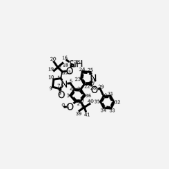 COc1cc(CN2C(=O)CC[C@H]2C(O[SiH](C)C)C(C)(C)C)c(-c2cccnc2OCc2ccccc2)cc1C(C)(C)C